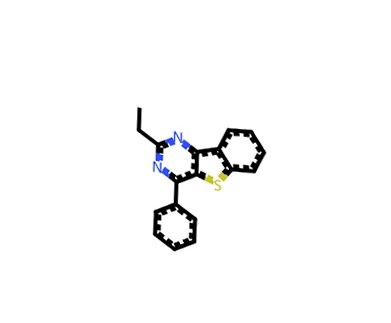 CCc1nc(-c2ccccc2)c2sc3ccccc3c2n1